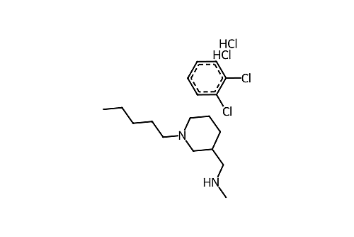 CCCCCN1CCCC(CNC)C1.Cl.Cl.Clc1ccccc1Cl